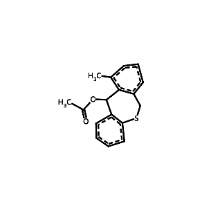 CC(=O)OC1c2ccccc2SCc2cccc(C)c21